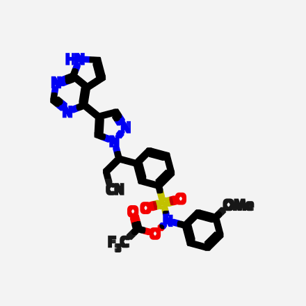 COc1cccc(N(OC(=O)C(F)(F)F)S(=O)(=O)c2cccc(C(CC#N)n3cc(-c4ncnc5[nH]ccc45)cn3)c2)c1